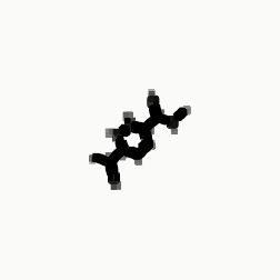 COC(=O)c1ccc(C(C)=O)nn1